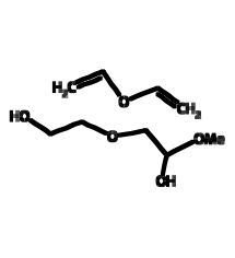 C=COC=C.COC(O)COCCO